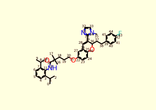 CC(C)c1cccc(C(C)C)c1NC(=O)C(C)(C)CCCOc1ccc2c(c1)C=C(c1nccn1C)C(CCc1ccc(F)cc1)O2